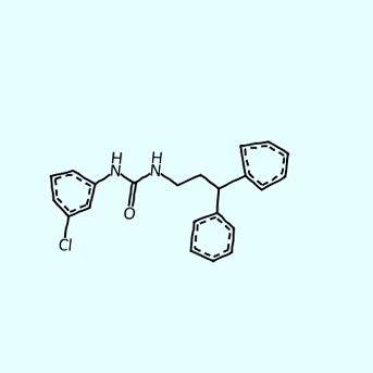 O=C(NCCC(c1ccccc1)c1ccccc1)Nc1cccc(Cl)c1